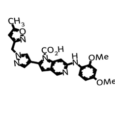 COc1ccc(Nc2cc3c(cn2)cc(-c2cnn(Cc4cc(C)on4)c2)n3C(=O)O)c(OC)c1